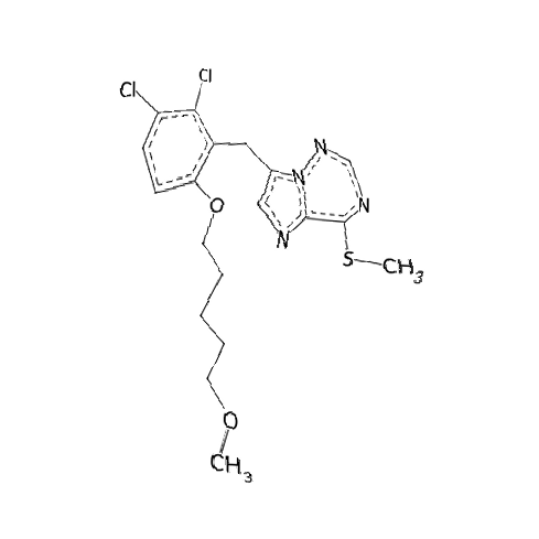 COCCCCCOc1ccc(Cl)c(Cl)c1Cc1cnc2c(SC)ncnn12